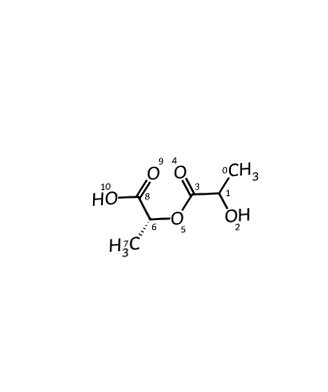 CC(O)C(=O)O[C@H](C)C(=O)O